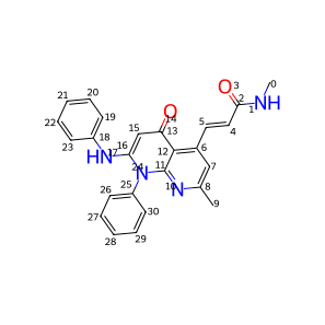 CNC(=O)/C=C/c1cc(C)nc2c1c(=O)cc(Nc1ccccc1)n2-c1ccccc1